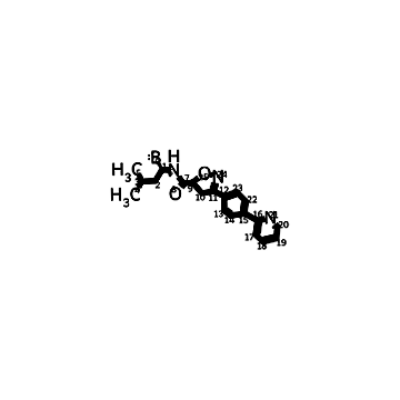 [B][C@H](CC(C)C)NC(=O)C1CC(c2ccc(-c3ccccn3)cc2)=NO1